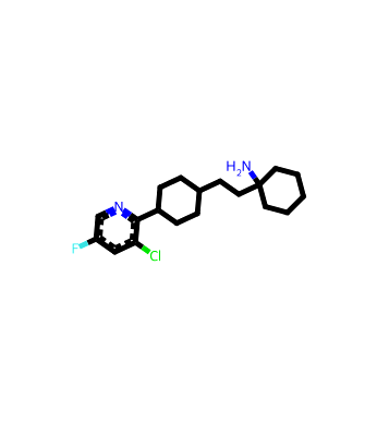 NC1(CCC2CCC(c3ncc(F)cc3Cl)CC2)CCCCC1